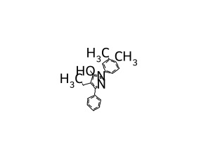 CCc1c(-c2ccccc2)nn(-c2ccc(C)c(C)c2)c1O